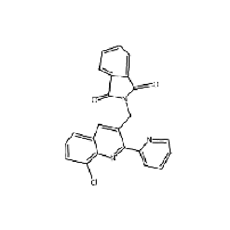 O=C1c2ccccc2C(=O)N1Cc1cc2cccc(Cl)c2nc1-c1ccccn1